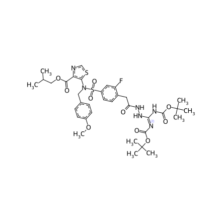 COc1ccc(CN(c2scnc2C(=O)OCC(C)C)S(=O)(=O)c2ccc(CC(=O)NN/C(=N\C(=O)OC(C)(C)C)NC(=O)OC(C)(C)C)c(F)c2)cc1